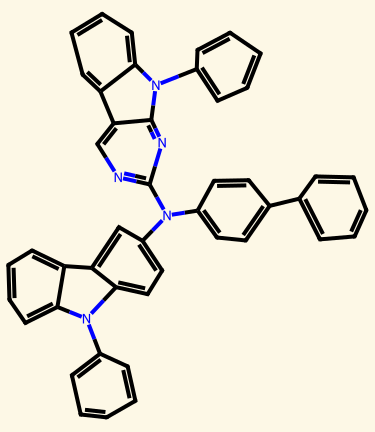 c1ccc(-c2ccc(N(c3ccc4c(c3)c3ccccc3n4-c3ccccc3)c3ncc4c5ccccc5n(-c5ccccc5)c4n3)cc2)cc1